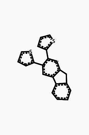 [c]1c2c(cc(-c3cccs3)c1-c1cccs1)-c1ccccc1C2